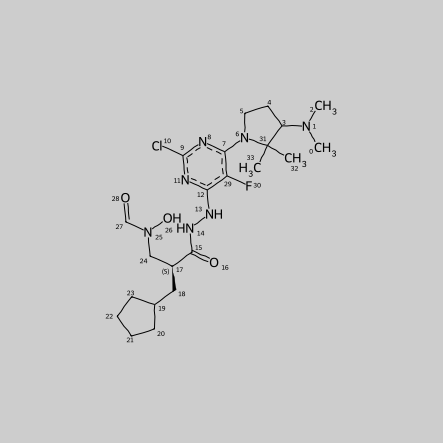 CN(C)C1CCN(c2nc(Cl)nc(NNC(=O)[C@@H](CC3CCCC3)CN(O)C=O)c2F)C1(C)C